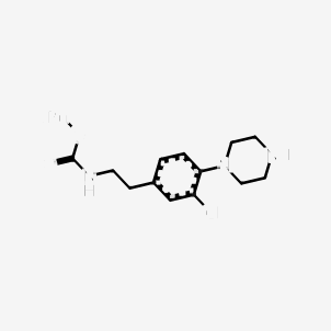 CC(C)(C)OC(=O)NCCc1ccc(N2CCNCC2)c(Cl)c1